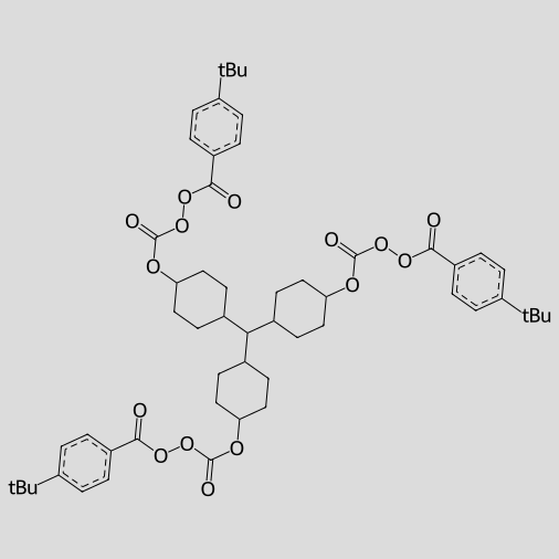 CC(C)(C)c1ccc(C(=O)OOC(=O)OC2CCC(C(C3CCC(OC(=O)OOC(=O)c4ccc(C(C)(C)C)cc4)CC3)C3CCC(OC(=O)OOC(=O)c4ccc(C(C)(C)C)cc4)CC3)CC2)cc1